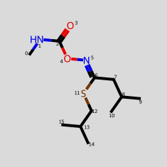 CNC(=O)ON=C(CC(C)C)SCC(C)C